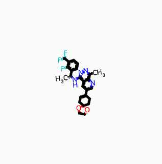 Cc1nnc(N[C@H](C)c2cccc(C(F)F)c2F)c2cc(C3=CCC4(CC3)OCCO4)cnc12